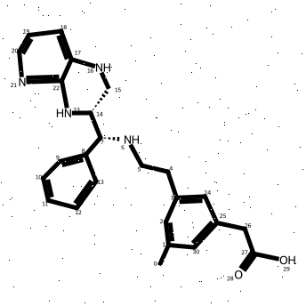 Cc1cc(CCN[C@H](c2ccccc2)[C@H]2CNc3cccnc3N2)cc(CC(=O)O)c1